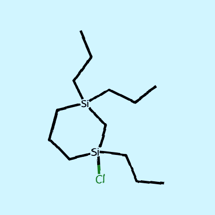 CCC[Si]1(Cl)CCC[Si](CCC)(CCC)C1